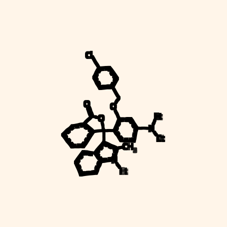 CCN(CC)c1ccc(C2(c3c(C)n(CC)c4ccccc34)OC(=O)c3ccccc32)c(OCc2ccc(Cl)cc2)c1